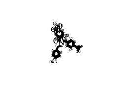 COc1ccc(CCN2C(=O)C3(CCN(S(C)(=O)=O)CC3)N(C)C2c2ccc(C3CC3)cc2)cc1